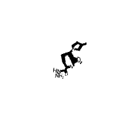 COc1nc(C(=O)NN)ccc1-n1ccc(C)c1